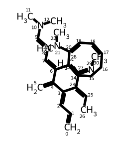 C=C\C=C(C(=C)/C(=C/N=C/N(C)C)C1=CCC/C=C\C=C/1N(C)C)/C(=C\C)C(/C)=N/C